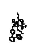 CCCCc1c(C(F)(F)F)n(C(=O)CCC)c(=O)n1Cc1ccc(-c2ccccc2-c2nnn[nH]2)cc1